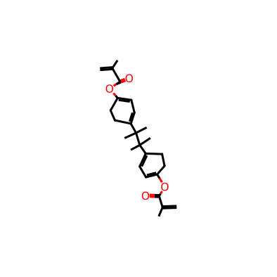 C=C(C)C(=O)OC1=CC=C(C(C)(C)C(C)(C)C2=CC=C(OC(=O)C(=C)C)CC2)CC1